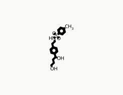 Cc1ccc(S(=O)(=O)NCCc2ccc(C(O)CCCO)cc2)cc1